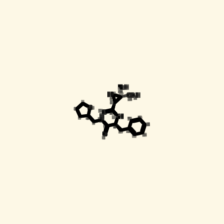 O=C(NCC1CCCO1)[C@H](Cc1ccccc1)NC(=O)[C@H]1N[C@@H]1C(=O)O.[NaH]